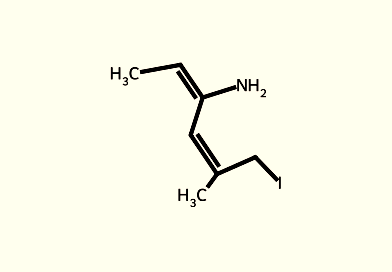 C/C=C(N)\C=C(\C)CI